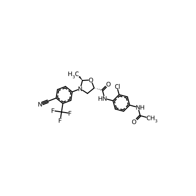 CC(=O)Nc1ccc(NC(=O)[C@@H]2CN(c3ccc(C#N)c(C(F)(F)F)c3)[C@@H](C)O2)c(Cl)c1